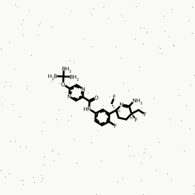 BC(B)(B)Oc1cnc(C(=O)Nc2ccc(F)c([C@]3(CF)CC[C@@](F)(CF)C(N)=N3)c2)cn1